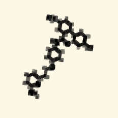 Cc1ccc(-c2ccc(Cl)cc2)c(C(=O)Nc2ccc(OCCc3cccc(N)n3)cc2)c1